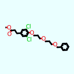 COC(=O)CCc1cc(Cl)c(OCCCOCCCOCc2ccccc2)c(Cl)c1